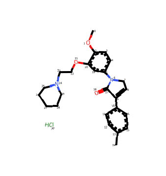 COc1ccc(N2CC=C(c3ccc(C)cc3)C2=O)cc1OCCN1CCCCC1.Cl